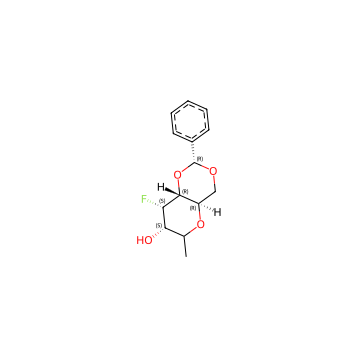 CC1O[C@@H]2CO[C@@H](c3ccccc3)O[C@H]2[C@@H](F)[C@H]1O